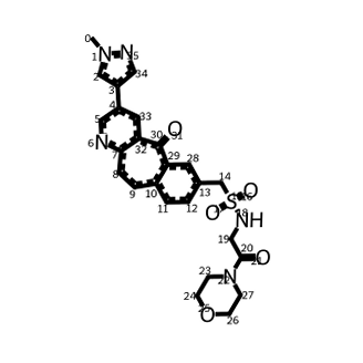 Cn1cc(-c2cnc3ccc4ccc(CS(=O)(=O)NCC(=O)N5CCOCC5)cc4c(=O)c3c2)cn1